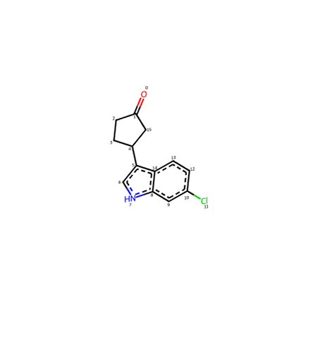 O=C1CCC(c2c[nH]c3cc(Cl)ccc23)C1